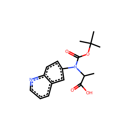 CC(C(=O)O)N(C(=O)OC(C)(C)C)c1ccc2ncccc2c1